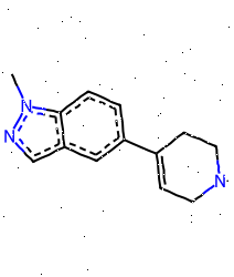 Cn1ncc2cc(C3=CC[N]CC3)ccc21